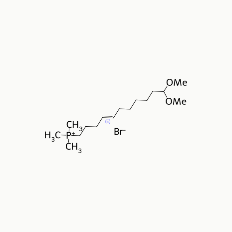 COC(CCCCC/C=C/CCC[P+](C)(C)C)OC.[Br-]